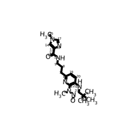 CN(N=O)c1nc(CCCNC(=O)c2cn(C)cn2)ccc1NCC(C)(C)C